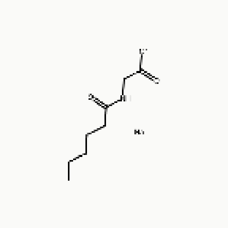 CCCCCC(=O)NCC(=O)[O-].[Na+]